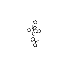 O=c1c2ccccc2oc2ccc(-c3cccc(-c4ccccc4-c4nc(-c5ccccc5)nc(-c5ccccc5)n4)c3)cc12